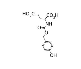 O=C(O)CC[C@H](NC(=O)OCc1ccc(O)cc1)C(=O)O